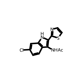 CC(=O)Nc1c(-c2nccs2)[nH]c2cc(Cl)ccc12